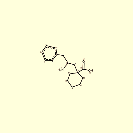 NC(Cc1ccccc1)CC1(C(=O)O)CCCCC1